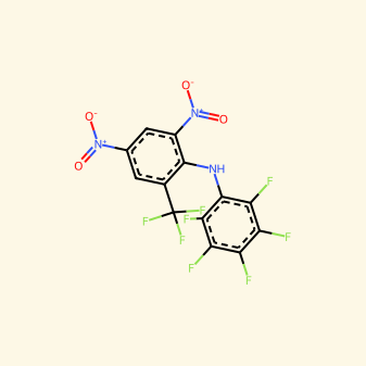 O=[N+]([O-])c1cc([N+](=O)[O-])c(Nc2c(F)c(F)c(F)c(F)c2F)c(C(F)(F)F)c1